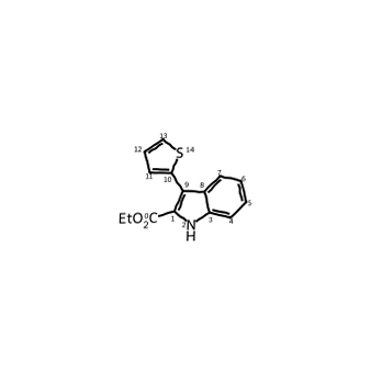 CCOC(=O)c1[nH]c2ccccc2c1-c1cccs1